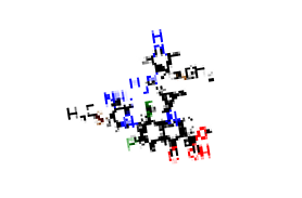 CS[C@H]1CN(c2c(F)cc3c(=O)c(C(=O)O)cn(C4CC4)c3c2F)C[C@@H]1N.CS[C@H]1CNC[C@@H]1N